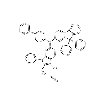 C=C/C=C\c1c(C)c2ccc(N(c3ccc(-c4ccccc4)cc3)c3ccc4c(c3)C(c3ccccc3)(c3ccccc3)c3ccccc3-4)cc2n1-c1ccccc1